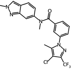 Cc1c(Cl)c(C(F)(F)F)nn1-c1cccc(C(=O)N(C)c2ccc3cn(C)nc3c2)c1